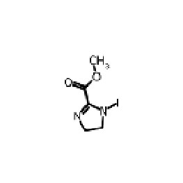 COC(=O)C1=NCCN1I